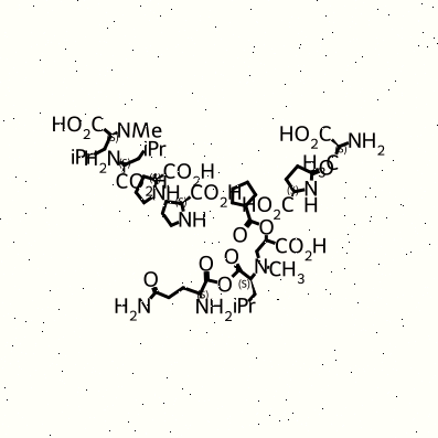 CC(C)C[C@@H](C(=O)OC(=O)[C@@H](N)CCC(N)=O)N(C)CC(OC(=O)C1CCCC1)C(=O)O.CC(C)C[C@H](N)C(=O)O.CN[C@@H](CC(C)C)C(=O)O.C[C@H](N)C(=O)O.O=C(O)[C@@H]1CCCN1.O=C(O)[C@@H]1CCCN1.O=C1CC[C@@H](C(=O)O)N1